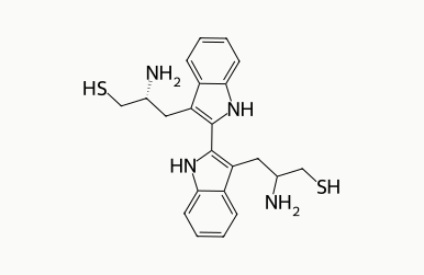 NC(CS)Cc1c(-c2[nH]c3ccccc3c2C[C@@H](N)CS)[nH]c2ccccc12